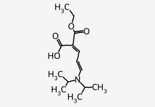 CCOC(=O)C(=CC=CN(C(C)C)C(C)C)C(=O)O